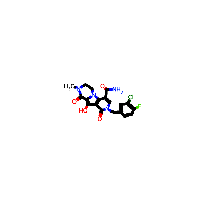 CN1CCn2c(c(O)c3c(=O)n(Cc4ccc(F)c(Cl)c4)cc(C(N)=O)c32)C1=O